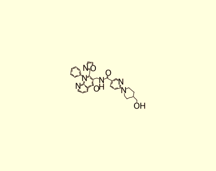 O=C(NCc1c(-c2ncco2)n(-c2ccccc2)c2ncccc2c1=O)c1ccc(N2CCC(CO)CC2)nc1